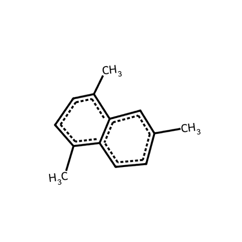 Cc1ccc2c(C)ccc(C)c2c1